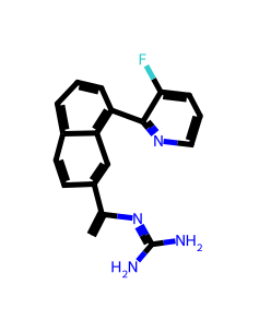 C=C(N=C(N)N)c1ccc2cccc(-c3ncccc3F)c2c1